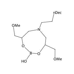 CCCCCCCCCCCCN1CC(COC)OB(O)OC(COC)C1